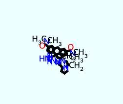 C=C(CN[C@H](C)CC1(c2nn[nH]n2)c2ccc(C(=O)N(C)C)cc2Cc2cc(C(=O)N(C)C)ccc21)N1CCCC1C#N